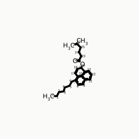 CCCCCCCc1ccc2cccc3c2c1C=CC3OC(=O)CCCC(C)C